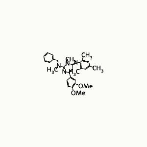 COc1ccc(-c2cc(=Nc3c(C)cc(C)cc3C)n(C)c(N(C)Cc3ccccc3)n2)cc1OC